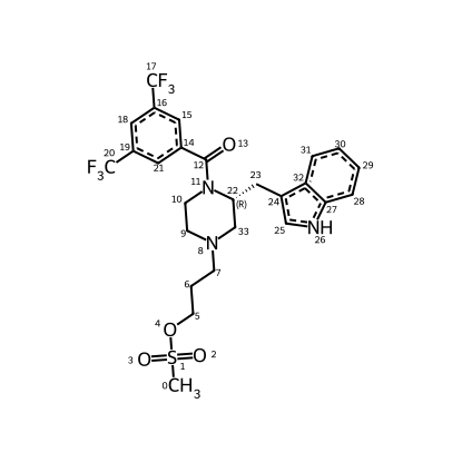 CS(=O)(=O)OCCCN1CCN(C(=O)c2cc(C(F)(F)F)cc(C(F)(F)F)c2)[C@H](Cc2c[nH]c3ccccc23)C1